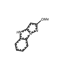 COc1cc2[nH]c3ccccc3n2n1